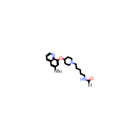 CCCCc1cc(OC2CCN(CCCCCNC(=O)CC)CC2)c2ncccc2c1